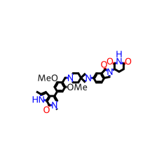 COc1cc(-c2cn(C)c(=O)c3[nH]c(C)cc23)cc(OC)c1CN1CCC2(CC1)CN(c1ccc3c(c1)C(=O)N(C1CCC(=O)NC1=O)C3)C2